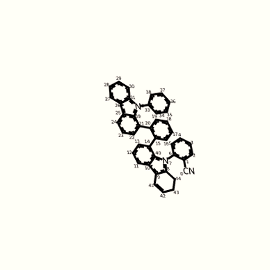 N#Cc1ccccc1-n1c2c(c3cccc(-c4ccccc4-c4cccc5c6ccccc6n(-c6ccccc6)c45)c31)C=CCC2